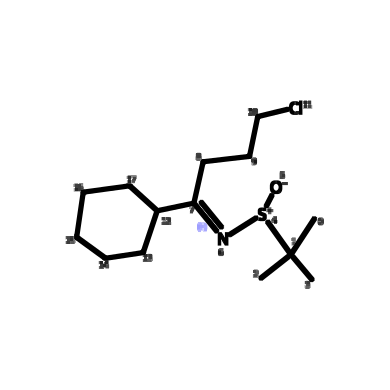 CC(C)(C)[S+]([O-])/N=C(\CCCCl)C1CCCCC1